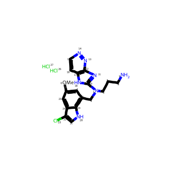 COc1cc(CN(CCCN)c2nc3nnccc3[nH]2)c2[nH]cc(Cl)c2c1.Cl.Cl